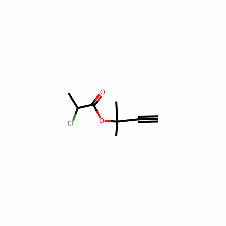 C#CC(C)(C)OC(=O)C(C)Cl